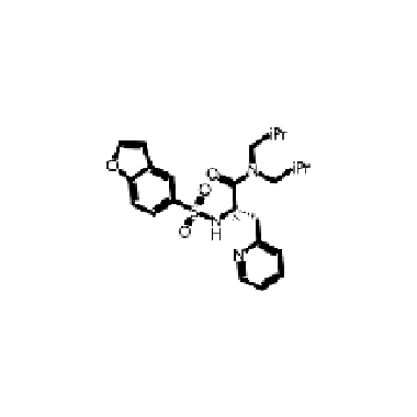 CC(C)CN(CC(C)C)C(=O)[C@H](Cc1ccccn1)NS(=O)(=O)c1ccc2occc2c1